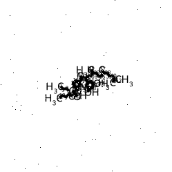 CCCCOP(=O)(OCCCC)Oc1cccc2c1Nc1c(O)cc(O)cc1N(C/C=C(\C)CC/C=C(\C)CCC=C(C)C)C2=O